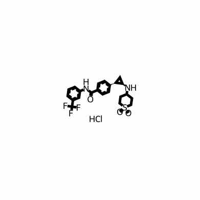 Cl.O=C(Nc1cccc(C(F)(F)F)c1)c1ccc([C@@H]2C[C@H]2NC2CCS(=O)(=O)CC2)cc1